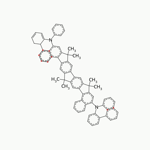 CC1(C)c2cc3c(cc2-c2cc4c(cc21)-c1c(cc(N(c2ccccc2)c2ccccc2-c2ccccc2)c2ccccc12)C4(C)C)C(C)(C)c1cc(N(C2=CC=CCC2c2ccccc2)c2ccccc2)c2ccccc2c1-3